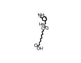 NCC1CCCC(CNC(=O)OCCCCCCCCCC(=O)O)C1